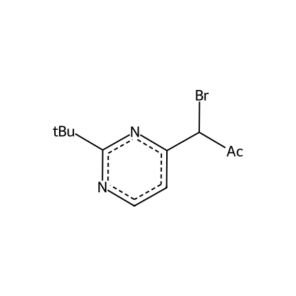 CC(=O)C(Br)c1ccnc(C(C)(C)C)n1